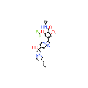 C/C=N\N(/C=C/CCC)CC(C)(O)c1ccn2c(-c3cc(OC)c(C(=O)NC4CC4)c(OC(F)F)c3)cnc2c1